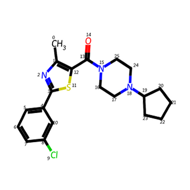 Cc1nc(-c2cccc(Cl)c2)sc1C(=O)N1CCN(C2CCCC2)CC1